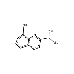 CC(C)(C)C(c1ccc2cccc(O)c2n1)C(C)(C)C